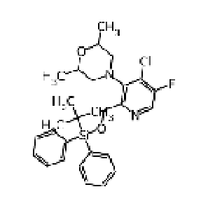 CC1CN(c2c(CO[Si](c3ccccc3)(c3ccccc3)C(C)(C)C)ncc(F)c2Cl)CC(C)O1